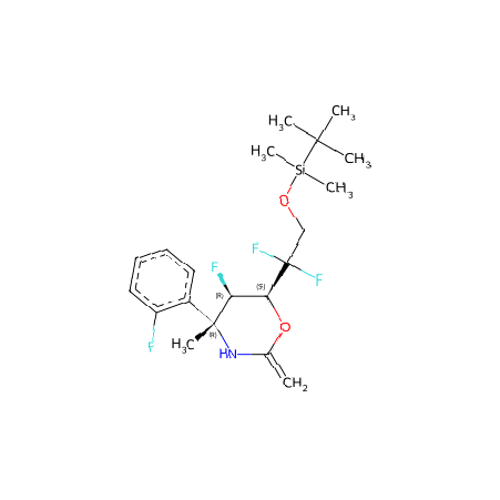 C=C1N[C@](C)(c2ccccc2F)[C@@H](F)[C@@H](C(F)(F)CO[Si](C)(C)C(C)(C)C)O1